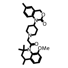 COc1cccc2c1N(C(=O)CN1CCC(N3C(=O)OCc4cc(C)ccc43)CC1)C(C)(C)CC2C